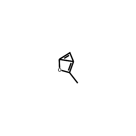 Cc1oc2cc1-2